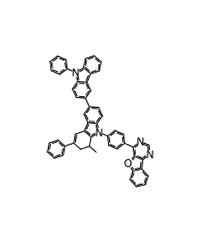 CC1CC(c2ccccc2)=Cc2c1n(-c1ccc(-c3ncnc4c3oc3ccccc34)cc1)c1ccc(-c3ccc4c(c3)c3ccccc3n4-c3ccccc3)cc21